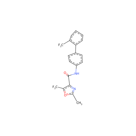 Cc1nc(C(=O)Nc2ccc(-c3ccccc3C(F)(F)F)cc2)c(C(F)(F)F)o1